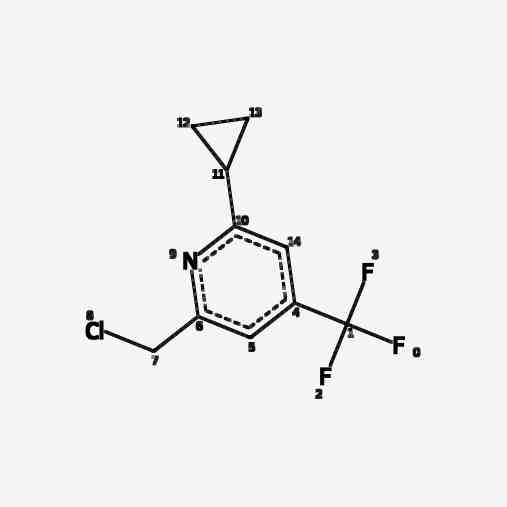 FC(F)(F)c1cc(CCl)nc(C2CC2)c1